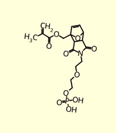 C=C(C)C(=O)OCC12C=CC(O1)C1C(=O)N(CCOCCOP(=O)(O)O)C(=O)C12